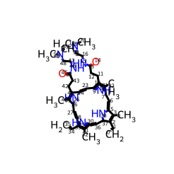 C=CC1=C(C)/C2=C/c3[nH]c(c(CCC(=O)NCCN(C)C)c3C)/C=C3\NC(/C=c4\[nH]/c(c(C)c4C=C)=C\C1N2)C(C)=C3CCC(=O)NCCN(C)C